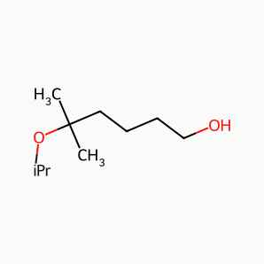 CC(C)OC(C)(C)CCCCO